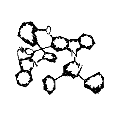 c1ccc(-c2cc(-c3ccccc3)nc(-n3c4ccccc4c4cc5c(cc43)C3(c4ccccc4O5)c4ccccc4-n4c5ccccc5c5cccc3c54)c2)cc1